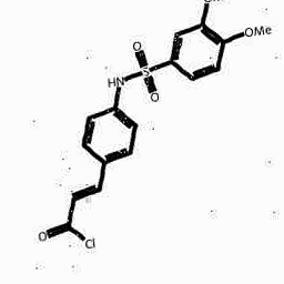 COc1ccc(S(=O)(=O)Nc2ccc(/C=C/C(=O)Cl)cc2)cc1OC